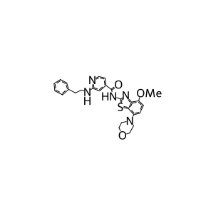 COc1ccc(N2CCOCC2)c2sc(NC(=O)c3ccnc(NCCc4ccccc4)c3)nc12